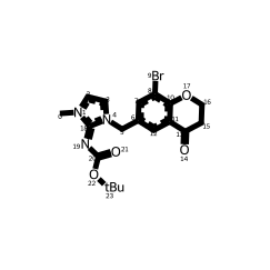 Cn1ccn(Cc2cc(Br)c3c(c2)C(=O)CCO3)/c1=N\C(=O)OC(C)(C)C